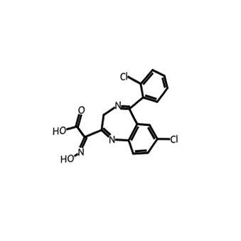 O=C(O)C(=NO)C1=Nc2ccc(Cl)cc2C(c2ccccc2Cl)=NC1